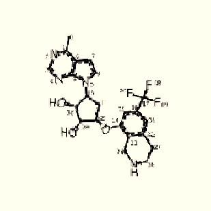 Cc1ncnc2c1ccn2C1CC(Oc2cc(C(F)(F)F)cc3c2CNCC3)[C@@H](O)[C@H]1O